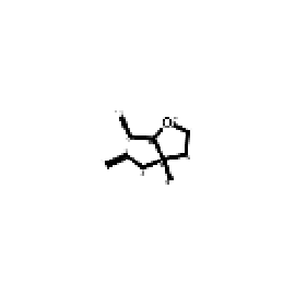 C=CCC1(C)CCOC1CC